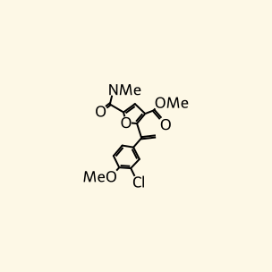 C=C(c1ccc(OC)c(Cl)c1)c1oc(C(=O)NC)cc1C(=O)OC